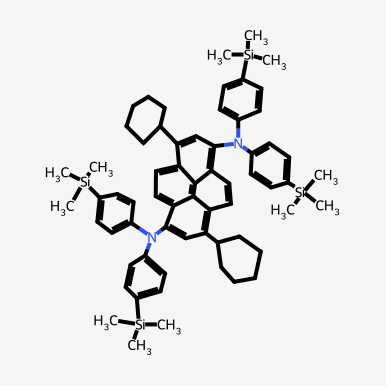 C[Si](C)(C)c1ccc(N(c2ccc([Si](C)(C)C)cc2)c2cc(C3CCCCC3)c3ccc4c(N(c5ccc([Si](C)(C)C)cc5)c5ccc([Si](C)(C)C)cc5)cc(C5CCCCC5)c5ccc2c3c54)cc1